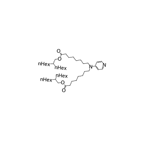 CCCCCCC(CCCCCC)COC(=O)CCCCCCCN(CCCCCCCC(=O)OCC(CCCCCC)CCCCCC)c1ccncc1